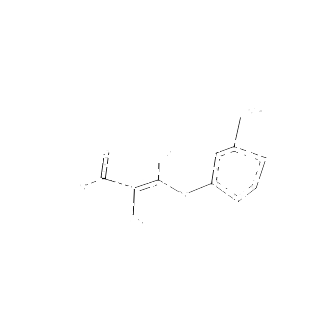 COc1cccc(N/C(SC)=C(\C#N)C(N)=O)c1